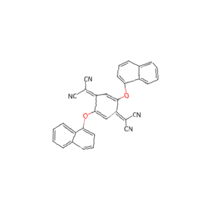 N#CC(C#N)=c1cc(Oc2cccc3ccccc23)c(=C(C#N)C#N)cc1Oc1cccc2ccccc12